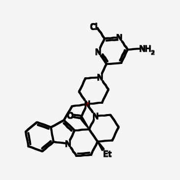 CC[C@]12C=Cn3c4c(c5ccccc53)CCN(CCC1)[C@@]42C(=O)N1CCN(c2cc(N)nc(Cl)n2)CC1